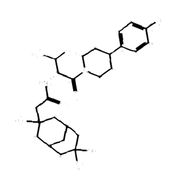 CC(C)[C@@H](NC(=O)CC1(C)CC2CC(CC(C)(O)C2)C1)C(=O)N1CCC(c2ccc(Cl)cc2)CC1